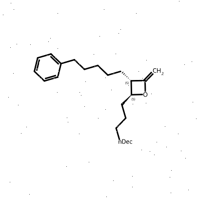 C=C1O[C@@H](CCCCCCCCCCCCC)[C@@H]1CCCCCc1ccccc1